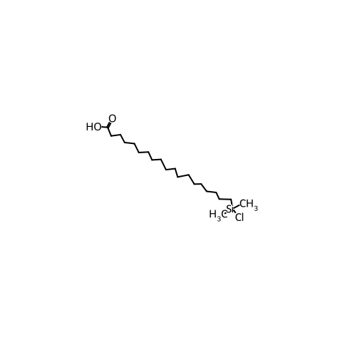 C[Si](C)(Cl)CCCCCCCCCCCCCCCCCCC(=O)O